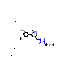 CCCCCCCN/C(C)=N/C=C1/C=C(c2cc(CC)cc(CC)c2)C(C)=NC1